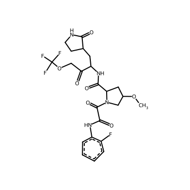 COC1CC(C(=O)NC(CC2CCNC2=O)C(=O)COC(F)(F)F)N(C(=O)C(=O)Nc2ccccc2F)C1